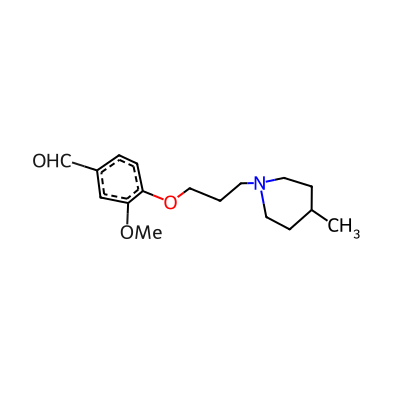 COc1cc(C=O)ccc1OCCCN1CCC(C)CC1